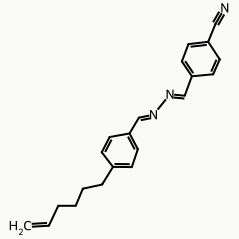 C=CCCCCc1ccc(C=NN=Cc2ccc(C#N)cc2)cc1